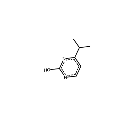 CC(C)c1ccnc(O)n1